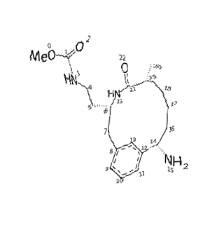 COC(=O)NCC[C@H]1Cc2cccc(c2)[C@@H](N)CCC[C@@H](C)C(=O)N1